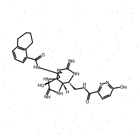 N=C1N[C@H]2[C@H](CNC(=O)c3ccc(O)nn3)NC(=N)N3CC(NC(=O)c4cccc5c4CCCC5)[C@@H](O)C23N1